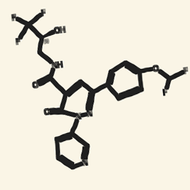 O=C(NC[C@H](O)C(F)(F)F)c1cc(-c2ccc(OC(F)F)cc2)nn(-c2cccnc2)c1=O